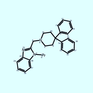 CC(C)n1c(CN2CCC(c3ccccc3)(c3ccccc3)CC2)nc2ccccc21